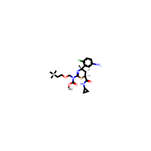 C[C@@H]1[C@@](C)(C(=O)NC2CC2)SC(N(COCC[Si](C)(C)C)C(=O)OC(C)(C)C)=N[C@]1(C)c1cc(N)ccc1F